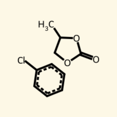 CC1COC(=O)O1.Clc1ccccc1